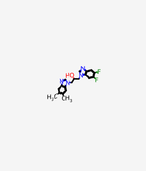 Cc1cc2ncn(CC(O)Cn3cnc4cc(F)c(F)cc43)c2cc1C